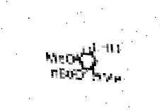 CCCCOC1=C(OC)CC(C=O)C=C1OC